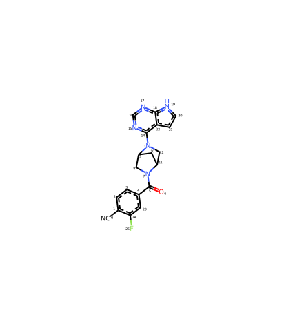 N#Cc1ccc(C(=O)N2CC3CC2CN3c2ncnc3[nH]ccc23)cc1F